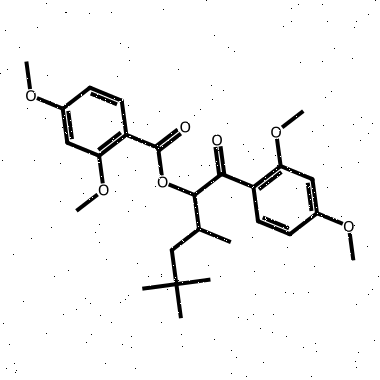 COc1ccc(C(=O)OC(C(=O)c2ccc(OC)cc2OC)C(C)CC(C)(C)C)c(OC)c1